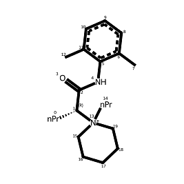 CCC[C@H](C(=O)Nc1c(C)cccc1C)[N+]1(CCC)CCCCC1